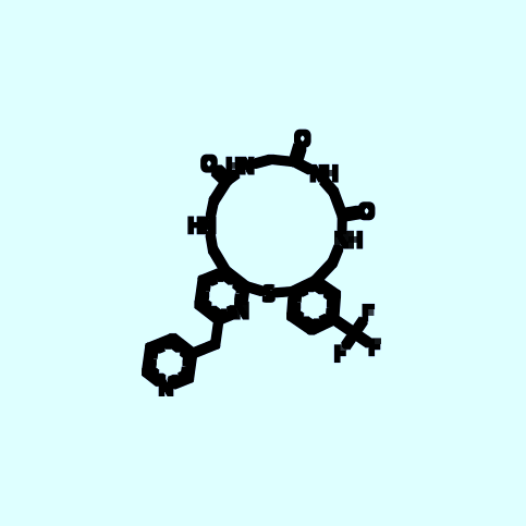 O=C1CNCc2ccc(Cc3cccnc3)nc2Sc2ccc(C(F)(F)F)cc2CNC(=O)CNC(=O)CN1